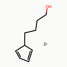 OCCCCC1C=CC=C1.[Zr]